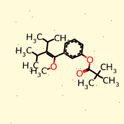 COC(=C(C(C)C)C(C)C)c1cccc(OC(=O)C(C)(C)C)c1